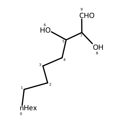 CCCCCCCCCCC(O)C(O)C=O